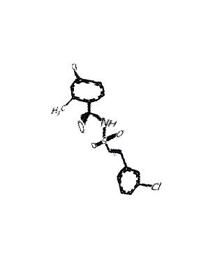 Cc1cc(Cl)ccc1C(=O)NS(=O)(=O)/C=C/c1cccc(Cl)c1